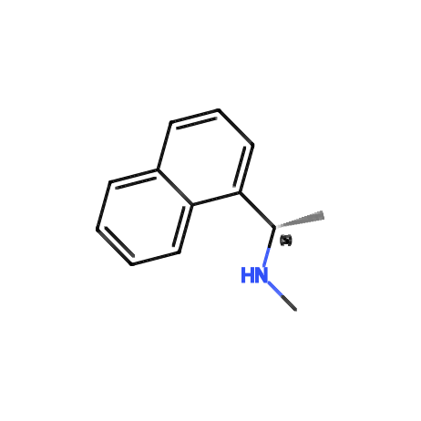 CN[C@@H](C)c1cccc2ccccc12